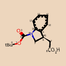 CC(C)(C)OC(=O)N1C[C@H](CC(=O)O)c2ccccc21